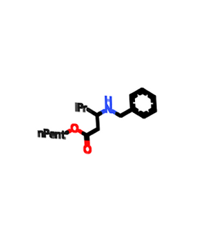 CCCCCOC(=O)CC(NCc1ccccc1)C(C)C